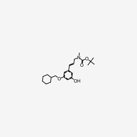 CN(C/C=C/c1cc(O)cc(OCC2CCCCC2)c1)C(=O)OC(C)(C)C